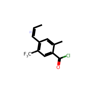 C/C=C\c1cc(C)c(C(=O)Cl)cc1C(F)(F)F